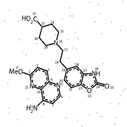 COc1ccc2nccc(N)c2n1.O=C(O)C1CCN(CCc2ccc3oc(=O)[nH]c3c2)CC1